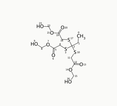 CCC(SCC(=O)OCO)(SCC(=O)OCO)SCC(=O)OCO